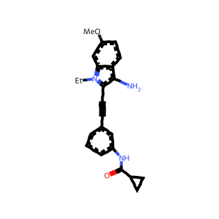 CCn1c(C#Cc2cccc(NC(=O)C3CC3)c2)c(N)c2ccc(OC)cc21